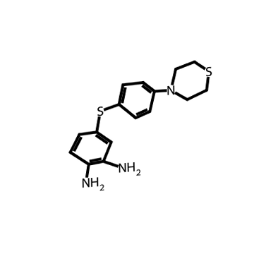 Nc1ccc(Sc2ccc(N3CCSCC3)cc2)cc1N